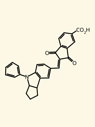 O=C(O)c1ccc2c(c1)C(=O)/C(=C/c1ccc3c(c1)C1CCCC1N3c1ccccc1)C2=O